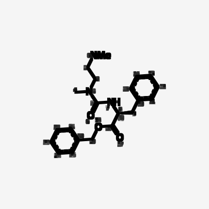 CNCCN(C)C(=O)N[C@@H](Cc1ccccc1)C(=O)OCc1ccccc1